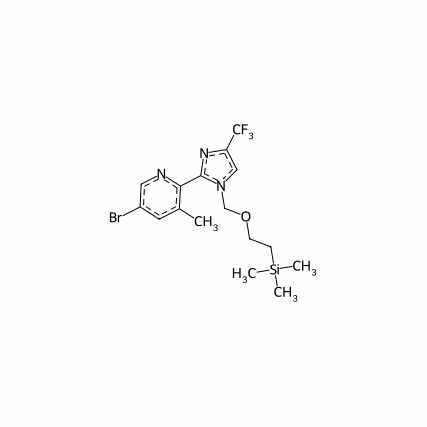 Cc1cc(Br)cnc1-c1nc(C(F)(F)F)cn1COCC[Si](C)(C)C